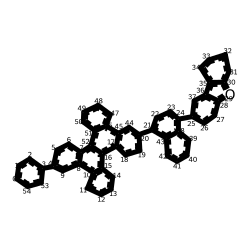 c1ccc(-c2ccc3c(c2)c2ccccc2c2c4ccc(-c5ccc(-c6ccc7oc8ccccc8c7c6)c6ccccc56)cc4c4ccccc4c32)cc1